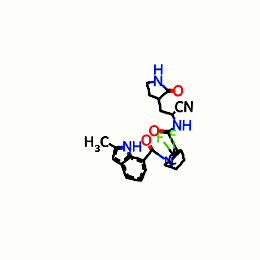 Cc1cc2cccc(C(=O)N3C4CCC(C3C(=O)NC(C#N)CC3CCNC3=O)C(F)(F)C4)c2[nH]1